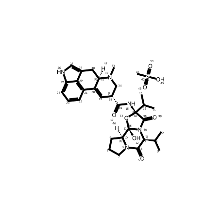 CC(C)[C@H]1C(=O)N2CCC[C@H]2[C@]2(O)O[C@](NC(=O)[C@@H]3C=C4c5cccc6[nH]cc(c56)C[C@H]4N(C)C3)(C(C)C)C(=O)N12.CS(=O)(=O)O